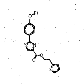 CCOc1ccc(-c2nc(C(=O)OCCc3cccs3)cs2)cc1